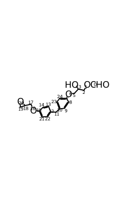 O=COCC(O)COc1ccc(Cc2ccc(OCC3CO3)cc2)cc1